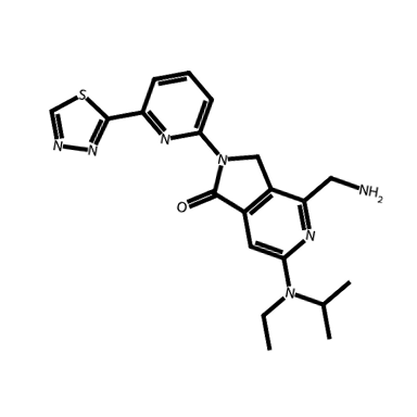 CCN(c1cc2c(c(CN)n1)CN(c1cccc(-c3nncs3)n1)C2=O)C(C)C